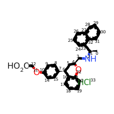 C[C@@H](NC[C@@H]1C[C@@H](c2ccc(OCC(=O)O)cc2)c2ccccc2O1)c1cccc2ccccc12.Cl